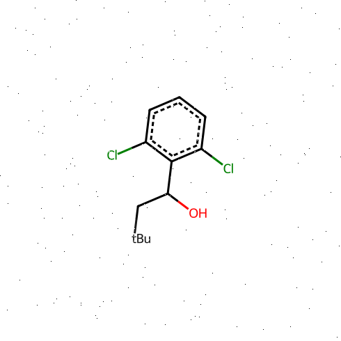 CC(C)(C)CC(O)c1c(Cl)cccc1Cl